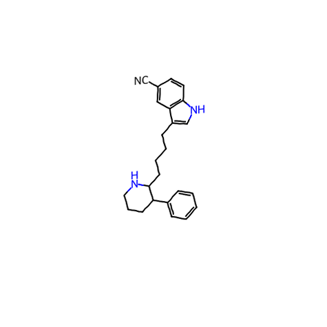 N#Cc1ccc2[nH]cc(CCCCC3NCCCC3c3ccccc3)c2c1